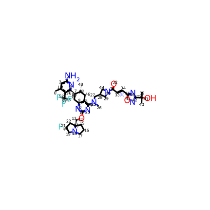 Cc1cc(N)nc([C@@H]2Cc3nc(OC[C@@]45CCCN4C[C@H](F)C5)nc(N(C)CC4CN(C(=O)/C=C/c5nc(C(C)(C)O)no5)C4)c3C[C@H]2C)c1C(F)(F)F